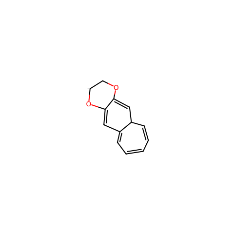 [CH]1COC2=CC3C=CC=CC=C3C=C2O1